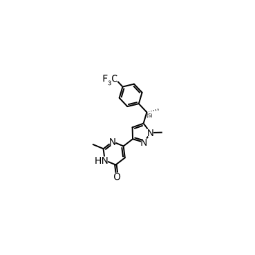 Cc1nc(-c2cc([C@@H](C)c3ccc(C(F)(F)F)cc3)n(C)n2)cc(=O)[nH]1